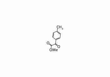 COC(=O)C(=O)c1ccc(C)cc1